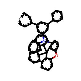 c1ccc(-c2cc(-c3ccccc3)cc(N(c3ccccc3)c3cccc4c3C3(c5ccccc5O4)c4ccccc4-c4ccccc43)c2)cc1